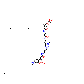 CN(C)c1ccc2c(CC(=O)NCCCn3cc(CCNC(=O)/C=C/NC(=O)CC(C)(C)COC(C)(C)O)nn3)cc(=O)oc2c1